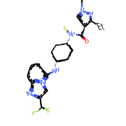 CCc1nn(C)cc1C(=O)[N+](=S)[C@H]1CC[C@@H](Nc2cccc3nc(C(F)F)cn23)CC1